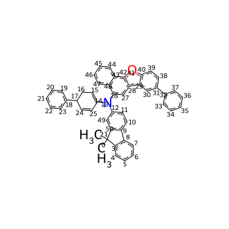 CC1(C)c2ccccc2-c2ccc(N(C3=CCC(c4ccccc4)C=C3)c3cc4c5cc(-c6ccccc6)ccc5oc4c4ccccc34)cc21